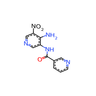 Nc1c(NC(=O)c2cccnc2)cncc1[N+](=O)[O-]